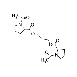 CC(=O)N1CCCC1C(=O)OCCCOC(=O)C1CCCN1C(C)=O